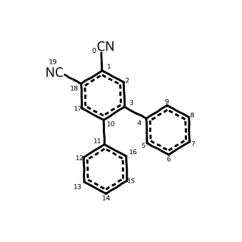 N#Cc1cc(-c2ccccc2)c(-c2ccccc2)cc1C#N